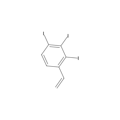 C=Cc1ccc(I)c(I)c1I